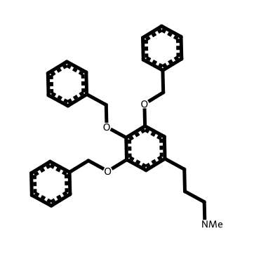 CNCCCc1cc(OCc2ccccc2)c(OCc2ccccc2)c(OCc2ccccc2)c1